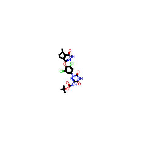 CC1CCc2c(Oc3c(Cl)cc(-n4nc(NC(=O)OC(C)(C)C)c(=O)[nH]c4=O)cc3Cl)n[nH]c(=O)c21